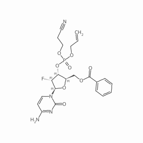 C=CCOP(=O)(OCCC#N)O[C@H]1[C@@H](F)[C@H](n2ccc(N)nc2=O)O[C@@H]1COC(=O)c1ccccc1